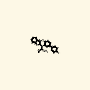 CN=C(N)N(c1cc2ccccc2o1)c1cc(-c2ccc(Cl)cc2)ccc1OC